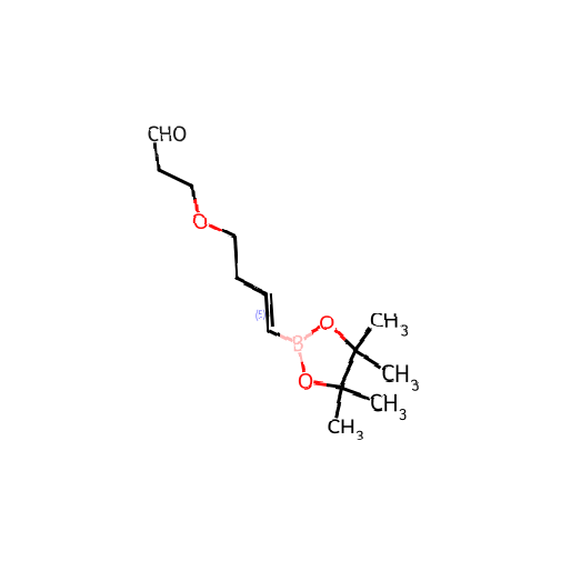 CC1(C)OB(/C=C/CCOCCC=O)OC1(C)C